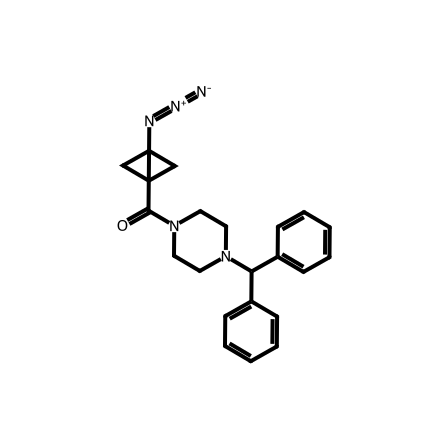 [N-]=[N+]=NC12CC1(C(=O)N1CCN(C(c3ccccc3)c3ccccc3)CC1)C2